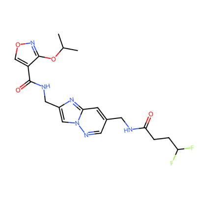 CC(C)Oc1nocc1C(=O)NCc1cn2ncc(CNC(=O)CCC(F)F)cc2n1